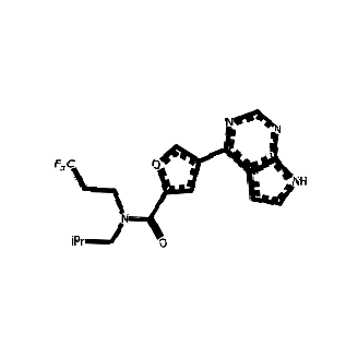 CC(C)CN(CCC(F)(F)F)C(=O)c1cc(-c2ncnc3[nH]ccc23)co1